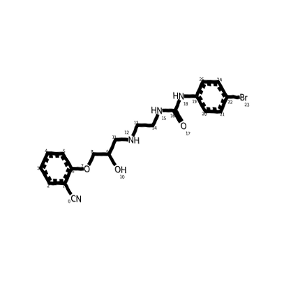 N#Cc1ccccc1OCC(O)CNCCNC(=O)Nc1ccc(Br)cc1